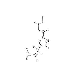 CCC(C)CC(C)n1cc(C(C)(C)C(C)C(C)C)nn1